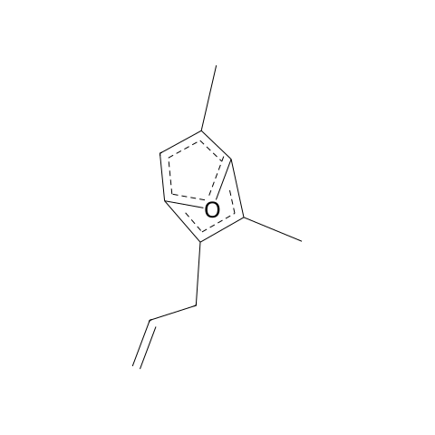 C=CCc1c(C)c2oc1cc2C